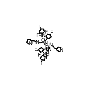 CN(CCc1ccncc1)c1nnc(-c2ccc(F)c(F)c2Nc2ccc(I)cc2F)o1.Fc1cc(I)ccc1Nc1c(-c2nnc(CNCCc3ccccn3)o2)ccc(F)c1F